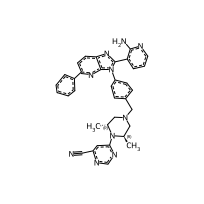 C[C@@H]1CN(Cc2ccc(-n3c(-c4cccnc4N)nc4ccc(-c5ccccc5)nc43)cc2)C[C@@H](C)N1c1cc(C#N)ncn1